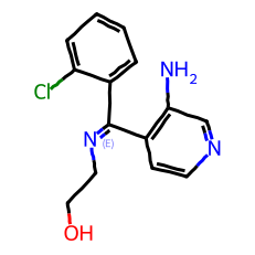 Nc1cnccc1/C(=N\CCO)c1ccccc1Cl